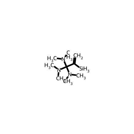 C=C([SiH3])C(N(C)C)(N(C)C)N(C)C